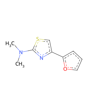 CN(C)c1nc(-c2ccco2)cs1